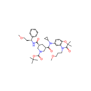 COCCCN1C(=O)C(C)(C)Oc2ccc(N(C(=O)[C@@H]3C[C@H](C(=O)N[C@@H](CCOC)c4ccccc4)CN(C(=O)OC(C)(C)C)C3)C3CC3)cc21